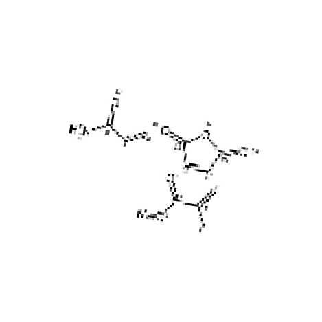 C=C(C)C(=O)OC.C=CC(N)=O.O=C1C=CC(=O)O1